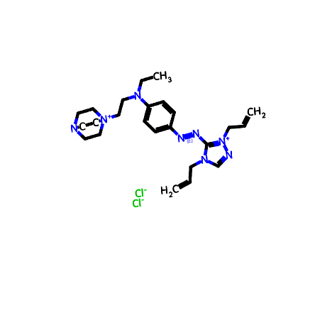 C=CCn1cn[n+](CC=C)c1/N=N/c1ccc(N(CC)CC[N+]23CCN(CC2)CC3)cc1.[Cl-].[Cl-]